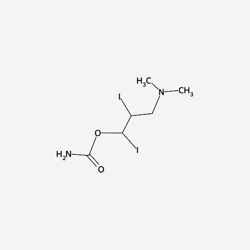 CN(C)CC(I)C(I)OC(N)=O